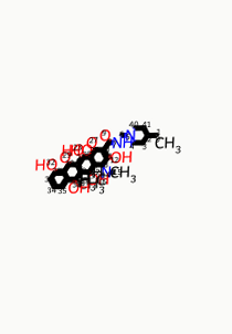 CCC1CCN(CNC(=O)C2=C(O)[C@@H](N(C)C)[C@@H]3[C@@H](O)[C@H]4C(=C(O)[C@]3(O)C2=O)C(=O)c2c(O)cccc2[C@@]4(C)O)CC1